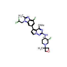 COc1nc(N[C@@H]2CCN(C3(C)COC3)C[C@@H]2F)nn2ccc(-c3cc(F)c4nc(C)n(CC(F)F)c4c3)c12